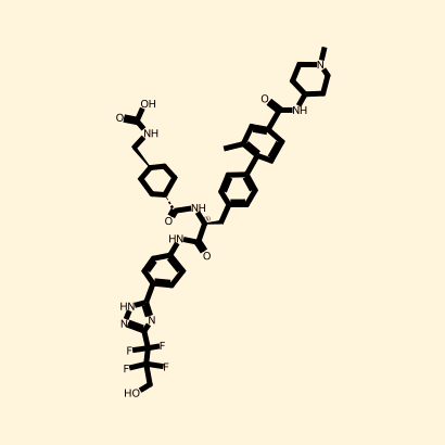 Cc1cc(C(=O)NC2CCN(C)CC2)ccc1-c1ccc(C[C@H](NC(=O)[C@H]2CC[C@H](CNC(=O)O)CC2)C(=O)Nc2ccc(-c3nc(C(F)(F)C(F)(F)CO)n[nH]3)cc2)cc1